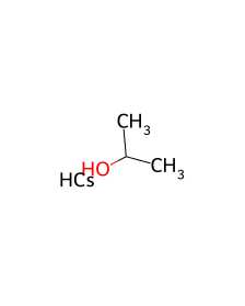 CC(C)O.[CsH]